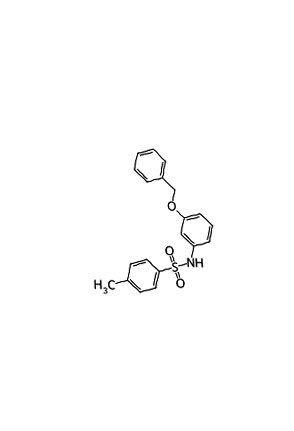 Cc1ccc(S(=O)(=O)Nc2cccc(OCc3ccccc3)c2)cc1